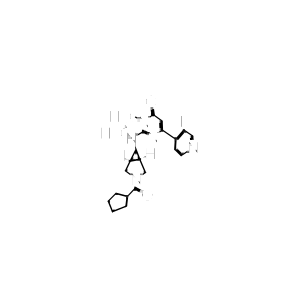 CN(c1nc(-c2ccncc2F)cc(=O)n1C)[C@@H]1[C@@H]2CN(C(=O)C3CCCC3)C[C@@H]21